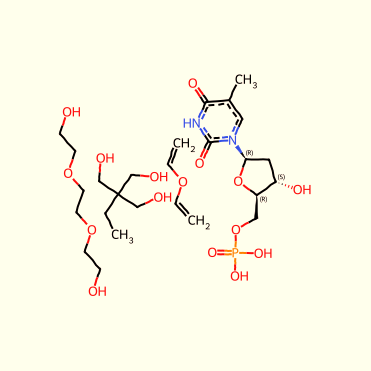 C=COC=C.CCC(CO)(CO)CO.Cc1cn([C@H]2C[C@H](O)[C@@H](COP(=O)(O)O)O2)c(=O)[nH]c1=O.OCCOCCOCCO